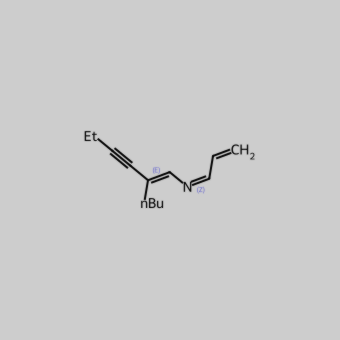 C=C/C=N\C=C(\C#CCC)CCCC